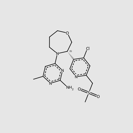 Cc1cc(N2CCCOC[C@@H]2c2cnc(CS(C)(=O)=O)cc2Cl)nc(N)n1